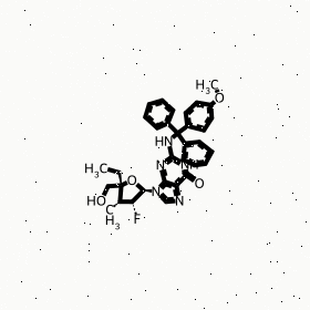 CC[C@@]1(CO)O[C@@H](n2cnc3c(=O)[nH]c(NC(c4ccccc4)(c4ccccc4)c4ccc(OC)cc4)nc32)[C@H](F)[C@@H]1C